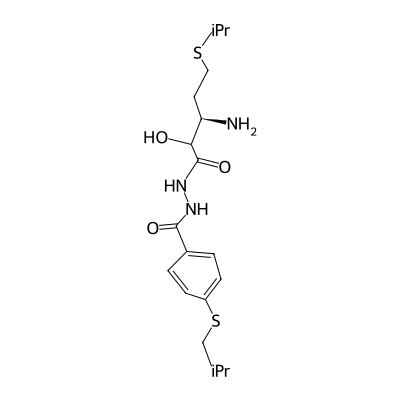 CC(C)CSc1ccc(C(=O)NNC(=O)C(O)[C@H](N)CCSC(C)C)cc1